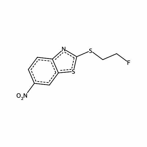 O=[N+]([O-])c1ccc2nc(SCCF)sc2c1